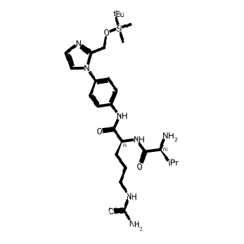 CC(C)[C@H](N)C(=O)N[C@@H](CCCNC(N)=O)C(=O)Nc1ccc(-n2ccnc2CO[Si](C)(C)C(C)(C)C)cc1